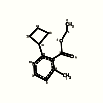 CCOC(=O)c1c(C)ccnc1C1CCC1